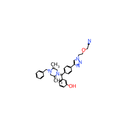 C[C@@H]1CN([C@H](c2ccc(-c3cn(CCOCC#N)nn3)cc2)c2cccc(O)c2)[C@@H](C)CN1Cc1ccccc1